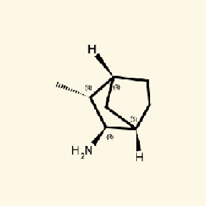 C[C@@H]1[C@@H]2CC[C@@H](C2)[C@H]1N